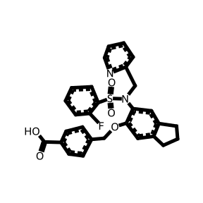 O=C(O)c1ccc(COc2cc3c(cc2N(Cc2ccccn2)S(=O)(=O)c2ccccc2F)CCC3)cc1